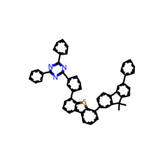 CC1(C)c2ccc(-c3ccccc3)cc2-c2ccc(-c3cccc4c3sc3c(-c5cccc(-c6nc(-c7ccccc7)nc(-c7ccccc7)n6)c5)cccc34)cc21